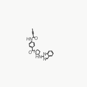 CC#CC(=O)Nc1ccc(C(=O)N2CC[C@H](Nc3ncc4ccccc4n3)C2)cc1